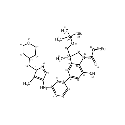 Cc1c(Nc2nccc(-c3cc(C#N)c4c(c3)[C@@](C)(CO[Si](C)(C)C(C)(C)C)CN4C(=O)OC(C)(C)C)n2)cnn1CC1CCOCC1